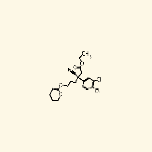 CCOC(=O)CC(C#N)(CCCOC1CCCCO1)c1ccc(Cl)c(Cl)c1